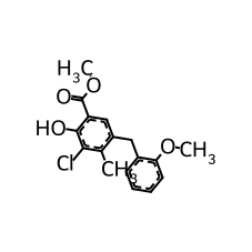 COC(=O)c1cc(Cc2ccccc2OC)c(C)c(Cl)c1O